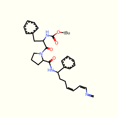 C=N/C=C\C=C/CCC(NC(=O)C1CCCN1C(=O)C(Cc1ccccc1)NC(=O)OC(C)(C)C)c1ccccc1